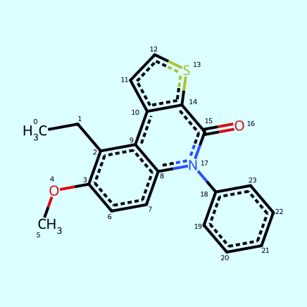 CCc1c(OC)ccc2c1c1ccsc1c(=O)n2-c1ccccc1